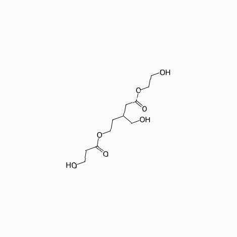 O=C(CCO)OCCC(CO)CC(=O)OCCO